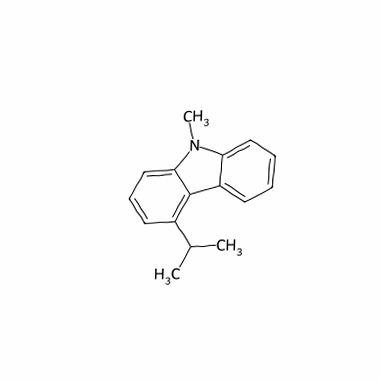 CC(C)c1cccc2c1c1ccccc1n2C